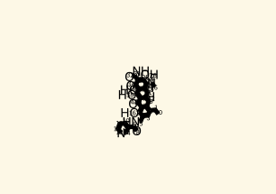 CCc1cc(CNC(=O)c2cccnc2)c(O)c2c1C[C@@H]1C[C@@H]3[C@@H](N(C)C)C(O)=C(C(N)=O)C(=O)[C@]3(O)C(O)=C1C2=O